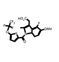 COC1=CCC2C(=C1F)C(CC(=O)O)=C(C)N2C(=O)c1ccc(OC(F)(F)C(F)(F)F)s1